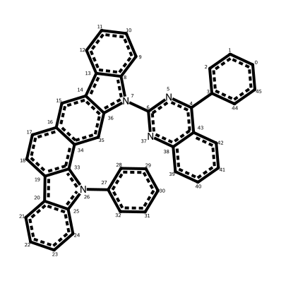 c1ccc(-c2nc(-n3c4ccccc4c4cc5ccc6c7ccccc7n(-c7ccccc7)c6c5cc43)nc3ccccc23)cc1